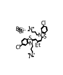 CCC(=Cc1sc2ccc(Cl)cc2[n+]1CCC[N+](C)(C)C)C=C1Sc2ccc(Cl)cc2N1CCC[N+](C)(C)C.[Br-].[Br-].[Br-]